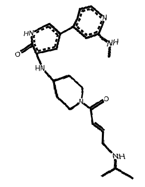 CNc1cc(-c2c[nH]c(=O)c(NC3CCN(C(=O)C=CCNC(C)C)CC3)c2)ccn1